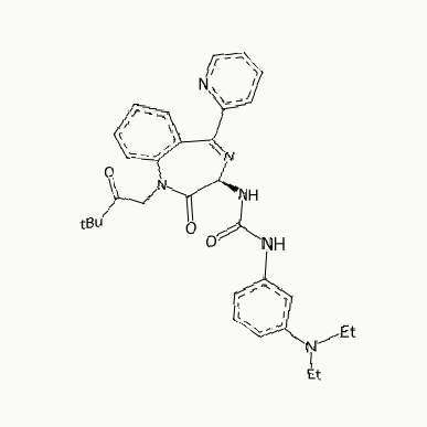 CCN(CC)c1cccc(NC(=O)N[C@@H]2N=C(c3ccccn3)c3ccccc3N(CC(=O)C(C)(C)C)C2=O)c1